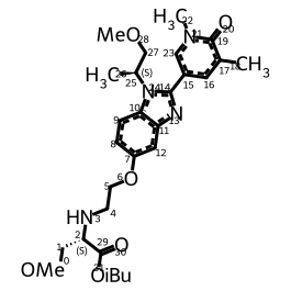 COC[C@H](NCCOc1ccc2c(c1)nc(-c1cc(C)c(=O)n(C)c1)n2[C@@H](C)COC)C(=O)OCC(C)C